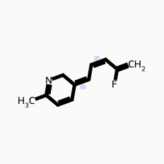 C=C(F)/C=C\C=C1\C=CC(C)=NC1